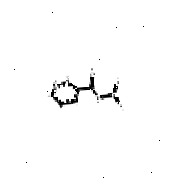 O=C(N=S(=O)=O)c1cccnn1